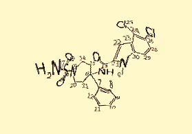 Cn1c(C(=O)NC2(c3ccccc3)CCN(S(N)(=O)=O)CC2)cc2c(Cl)c(Cl)ccc21